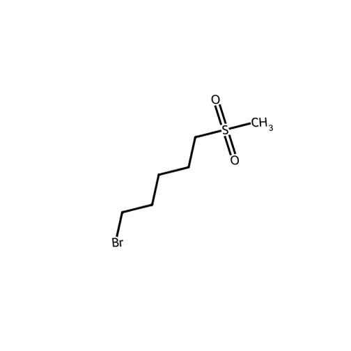 CS(=O)(=O)CCCCCBr